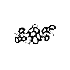 Cc1cc(N(c2ccccc2)c2cccc3c2C(C)(C)c2ccccc2-3)c2cc3c4c(cc(N(c5ccccc5)c5cccc6c5C(C)(C)c5ccccc5-6)c5ccc1c2c54)CCC3(C)C